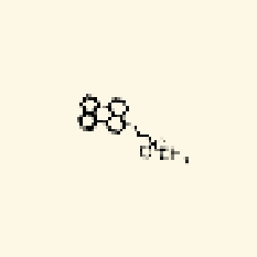 COC(=O)CCCC1=C2CC=CC3=C2C(C=C1)c1cccc2cccc3c12